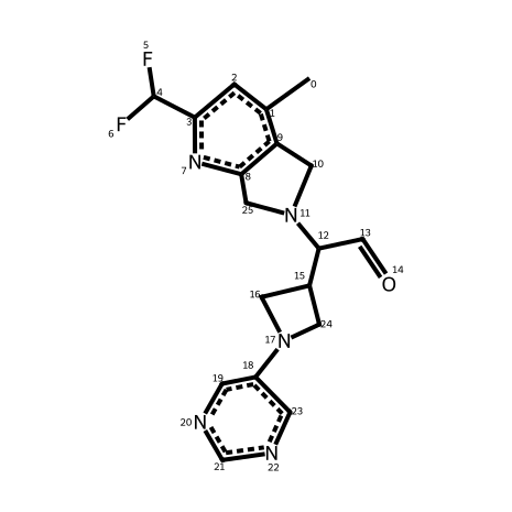 Cc1cc(C(F)F)nc2c1CN(C(C=O)C1CN(c3cncnc3)C1)C2